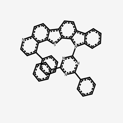 c1ccc(-c2nc(-c3ccccc3)nc(-n3c4ccccc4c4ccc5c6ccc7nccc(-c8ccccc8)c7c6sc5c43)n2)cc1